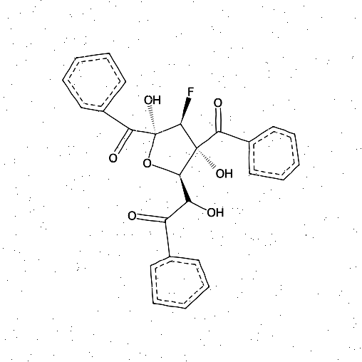 O=C(c1ccccc1)C(O)[C@H]1O[C@@](O)(C(=O)c2ccccc2)[C@@H](F)[C@@]1(O)C(=O)c1ccccc1